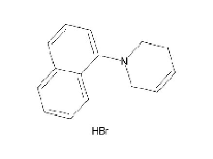 Br.C1=CCN(c2cccc3ccccc23)CC1